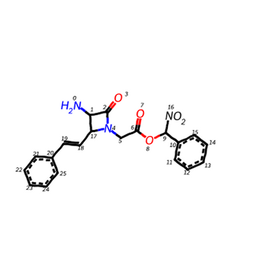 NC1C(=O)N(CC(=O)OC(c2ccccc2)[N+](=O)[O-])C1C=Cc1ccccc1